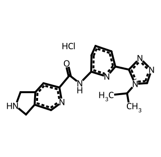 CC(C)n1cnnc1-c1cccc(NC(=O)c2cc3c(cn2)CNC3)n1.Cl